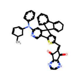 CC1C=CC=C(N(c2ccccc2)c2cc3c(cn2)-c2sc(C=C4C(=O)c5nccnc5C4=O)cc2C32C3=CCCC=C3c3ccccc32)C1